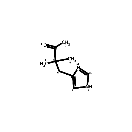 CC(=O)C(C)(C)Cc1c[nH]cn1